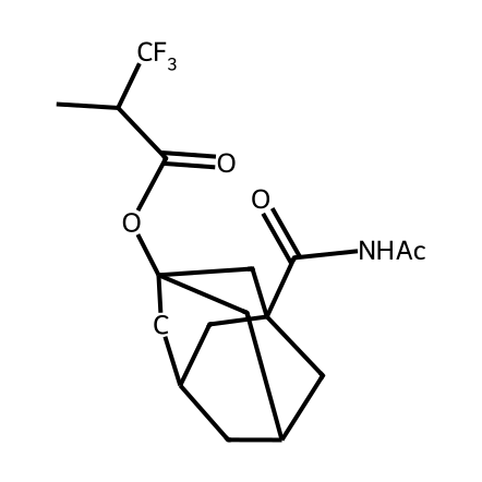 CC(=O)NC(=O)C12CC3CC(CC(OC(=O)C(C)C(F)(F)F)(C3)C1)C2